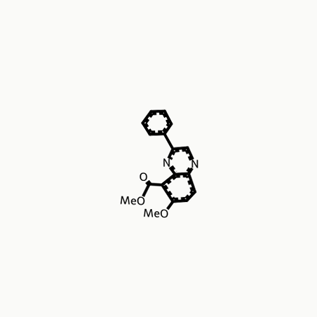 COC(=O)c1c(OC)ccc2ncc(-c3ccccc3)nc12